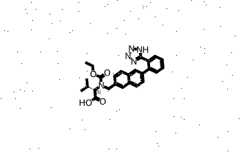 CCOC(=O)N(Cc1ccc2cc(-c3ccccc3-c3nnn[nH]3)ccc2c1)[C@H](C(=O)O)C(C)C